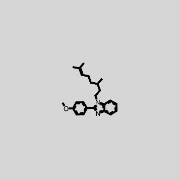 COc1ccc(-c2nc3ccccc3n2CCC(C)CCC=C(C)C)cc1